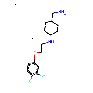 NC[C@H]1CC[C@H](NCCOc2ccc(Cl)c(F)c2)CC1